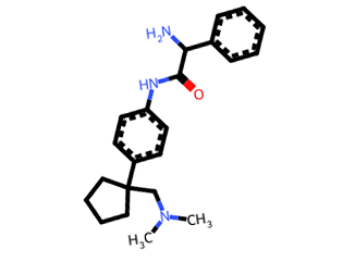 CN(C)CC1(c2ccc(NC(=O)C(N)c3ccccc3)cc2)CCCC1